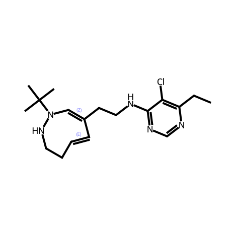 CCc1ncnc(NCCC2=C/N(C(C)(C)C)NCC\C=C\2)c1Cl